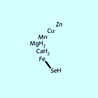 [CaH2].[Cu].[Fe][SeH].[MgH2].[Mn].[Zn]